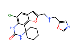 O=C1Nc2c(Cl)cc3cc(CNCc4cnco4)oc3c2C2(CCCCC2)N1